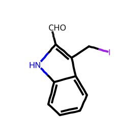 O=Cc1[nH]c2ccccc2c1CI